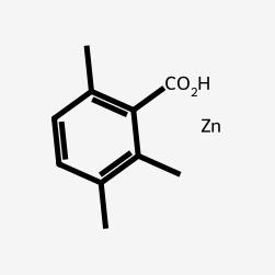 Cc1ccc(C)c(C(=O)O)c1C.[Zn]